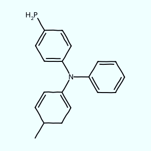 CC1C=CC(N(c2ccccc2)c2ccc(P)cc2)=CC1